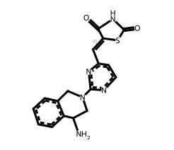 NC1CN(c2nccc(/C=C3\SC(=O)NC3=O)n2)Cc2ccccc21